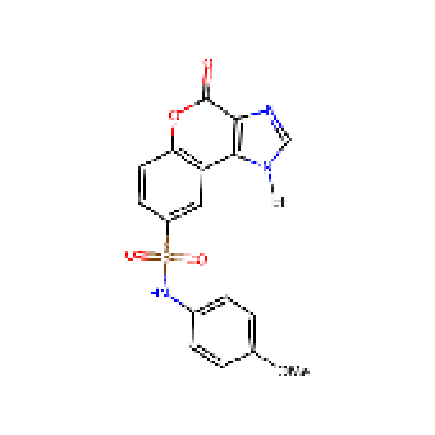 CCn1cnc2c(=O)oc3ccc(S(=O)(=O)Nc4ccc(OC)cc4)cc3c21